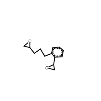 c1ccc(C2CO2)c(CCCC2CO2)c1